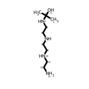 CC(C)(O)NCCNCCNCCN